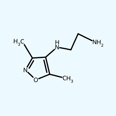 Cc1noc(C)c1NCCN